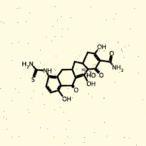 NC(=O)C1=C(O)CC2CC3Cc4c(NC(N)=S)ccc(O)c4C(=O)C3=C(O)[C@]2(O)C1=O